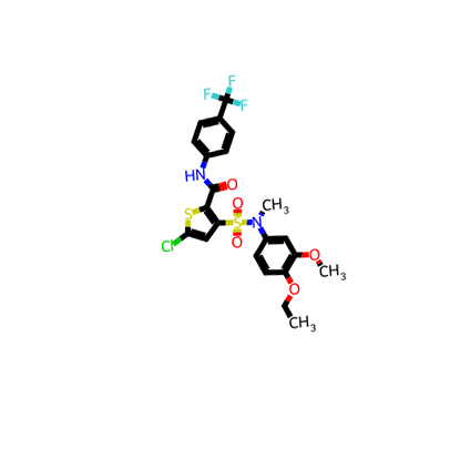 CCOc1ccc(N(C)S(=O)(=O)c2cc(Cl)sc2C(=O)Nc2ccc(C(F)(F)F)cc2)cc1OC